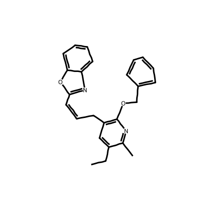 CCc1cc(C/C=C\c2nc3ccccc3o2)c(OCc2ccccc2)nc1C